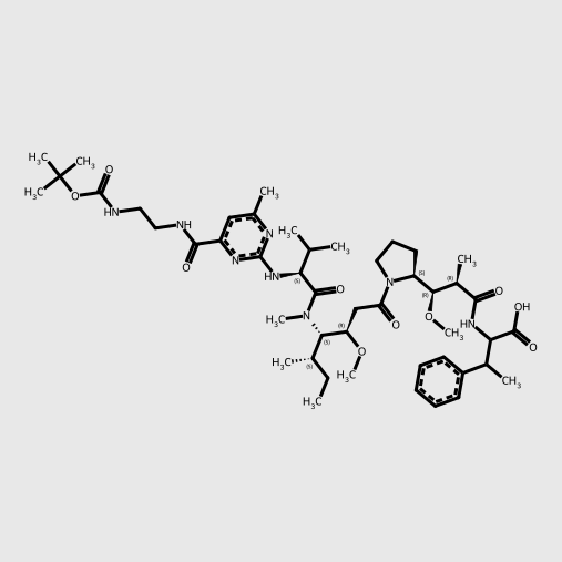 CC[C@H](C)[C@@H]([C@@H](CC(=O)N1CCC[C@H]1[C@H](OC)[C@@H](C)C(=O)NC(C(=O)O)C(C)c1ccccc1)OC)N(C)C(=O)[C@@H](Nc1nc(C)cc(C(=O)NCCNC(=O)OC(C)(C)C)n1)C(C)C